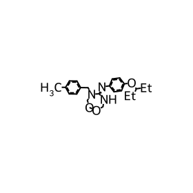 CCC(CC)Oc1ccc(/N=C2\NCOOCN2Cc2ccc(C)cc2)cc1